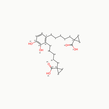 O=C(O)C1(CCCCCc2ccc(O)c(O)c2CCCCCC2(C(=O)O)CC2)CC1